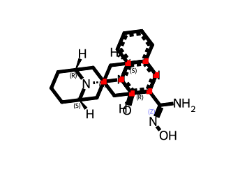 N/C(=N\O)c1nc2ccccc2n(C2C[C@H]3CCC[C@@H](C2)N3[C@H]2C[C@@H]3CCC[C@@H](C3)C2)c1=O